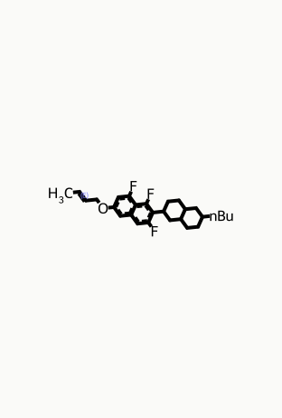 C/C=C/COc1cc(F)c2c(F)c(C3CCC4CC(CCCC)CCC4C3)c(F)cc2c1